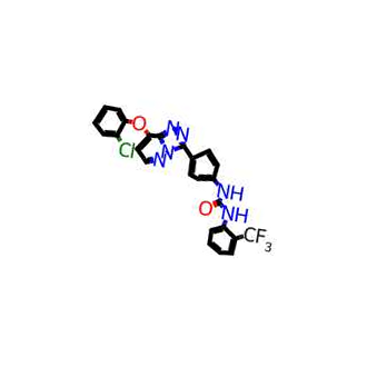 O=C(Nc1ccc(-c2nnc3c(Oc4ccccc4Cl)ccnn23)cc1)Nc1ccccc1C(F)(F)F